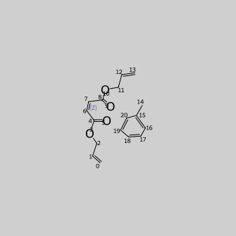 C=CCOC(=O)/C=C\C(=O)OCC=C.Cc1ccccc1